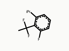 CC(C)c1cccc(F)c1C(C)(F)F